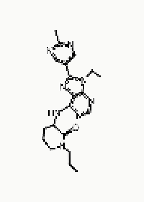 CCCN1CCCC(Nc2ncnc3c2nc(-c2cnc(C)nc2)n3CC)C1=O